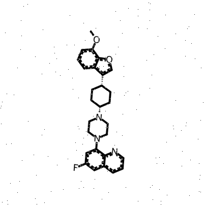 COc1cccc2c1occ2[C@H]1CC[C@@H](N2CCN(c3cc(F)cc4cccnc34)CC2)CC1